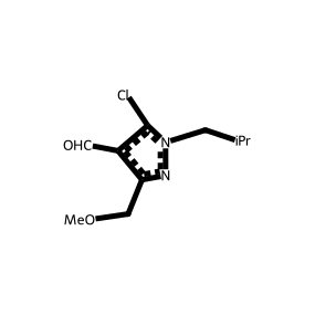 COCc1nn(CC(C)C)c(Cl)c1C=O